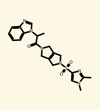 Cc1nc(S(=O)(=O)N2CC3=C(CN(C(=O)C(C)n4cnc5ccccc54)C3)C2)cn1C